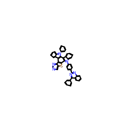 c1ccc(-c2nc(-c3ccc(-n4c5ccccc5c5c4c4sc6cncnc6c4c4c6ccccc6n(-c6ccccc6)c45)cc3)nc3ccccc23)cc1